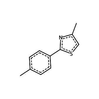 Cc1ccc(-c2nc(C)cs2)cc1